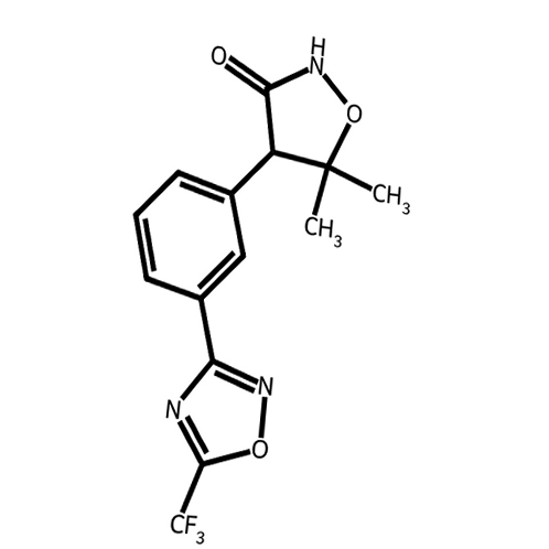 CC1(C)ONC(=O)C1c1cccc(-c2noc(C(F)(F)F)n2)c1